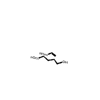 C=CCCCCCC.CCCCCCCCCCCCO